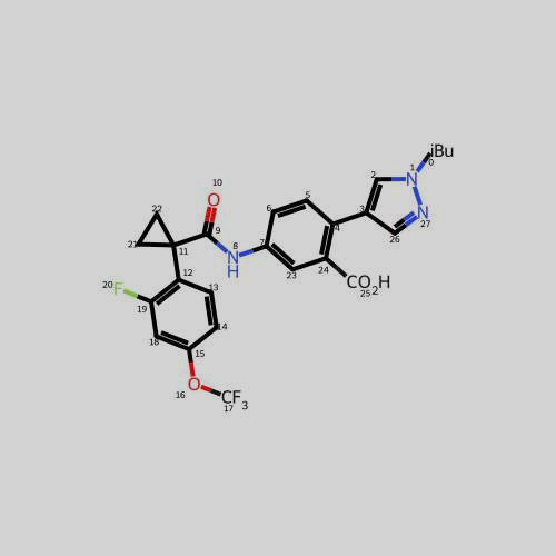 CCC(C)n1cc(-c2ccc(NC(=O)C3(c4ccc(OC(F)(F)F)cc4F)CC3)cc2C(=O)O)cn1